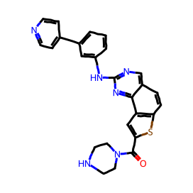 O=C(c1cc2c(ccc3cnc(Nc4cccc(-c5ccncc5)c4)nc32)s1)N1CCNCC1